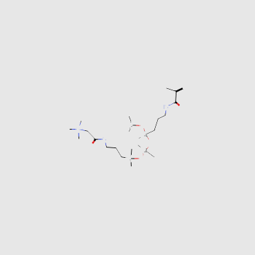 C=C(C)C(=O)NCCC[Si](C)(O[SiH](C)C)O[Si](C)(C)O[Si](C)(C)CCCNC(=O)C[N+](C)(C)C